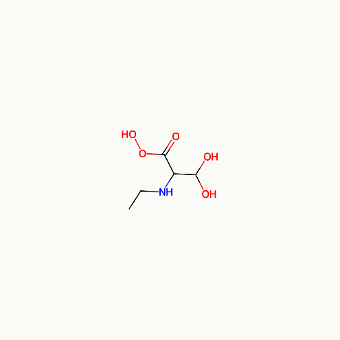 CCNC(C(=O)OO)C(O)O